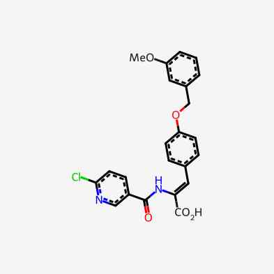 COc1cccc(COc2ccc(C=C(NC(=O)c3ccc(Cl)nc3)C(=O)O)cc2)c1